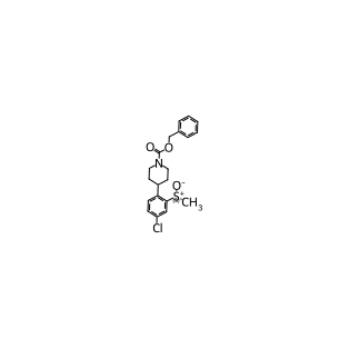 C[S@@+]([O-])c1cc(Cl)ccc1C1CCN(C(=O)OCc2ccccc2)CC1